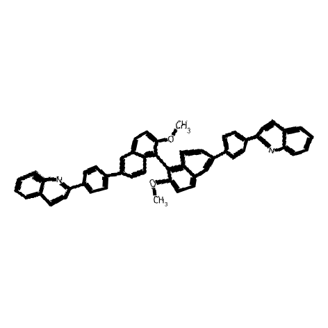 COc1ccc2cc(-c3ccc(-c4ccc5ccccc5n4)cc3)ccc2c1-c1c(OC)ccc2cc(-c3ccc(-c4ccc5ccccc5n4)cc3)ccc12